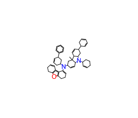 CC12CC(N(C3=CCCc4oc5c(c43)C=CCC5)C3CC=CC(c4ccccc4)C3)C=CC1N(C1C=CCCC1)C1CC(C3C=CC=CC3)C=CC12